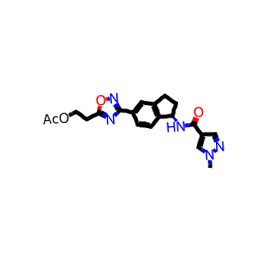 CC(=O)OCCc1nc(-c2ccc3c(c2)CC[C@H]3NC(=O)c2cnn(C)c2)no1